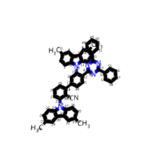 Cc1ccc2c(c1)c1cc(C)ccc1n2-c1cc(-c2cccc(-n3c4ccc(C)cc4c4cc(C)ccc43)c2C#N)ccc1-c1nc(-c2ccccc2)nc(-c2ccccc2)n1